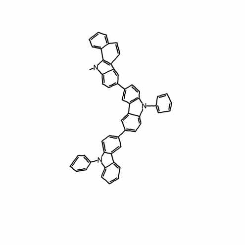 Cn1c2ccc(-c3ccc4c(c3)c3cc(-c5ccc6c(c5)c5ccccc5n6-c5ccccc5)ccc3n4-c3ccccc3)cc2c2ccc3ccccc3c21